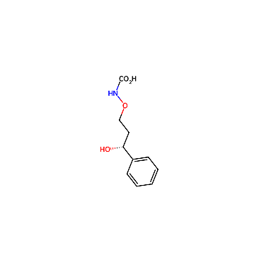 O=C(O)NOCC[C@@H](O)c1ccccc1